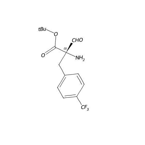 CC(C)(C)OC(=O)[C@@](N)(C=O)Cc1ccc(C(F)(F)F)cc1